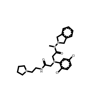 CN(C(=O)CN(CC(=O)NCCN1CCCC1)c1cc(Cl)ccc1Cl)N1Cc2ccccc2C1